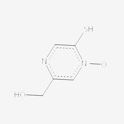 [O-][n+]1cc(CO)ncc1S